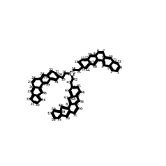 c1ccc2cc3c(ccc4cc5ccc(C[CH2][Cr]([CH2]Cc6ccc7cc8ccc9cc%10ccccc%10cc9c8cc7c6)[CH2]Cc6ccc7cc8ccc9cc%10ccccc%10cc9c8cc7c6)cc5cc43)cc2c1